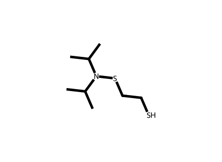 CC(C)N(SCCS)C(C)C